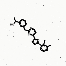 Cc1cccc(-c2ccc(-c3ccnc(Cc4cccc(C(C)O)c4)n3)s2)c1C